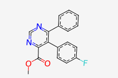 COC(=O)c1ncnc(-c2ccccc2)c1-c1ccc(F)cc1